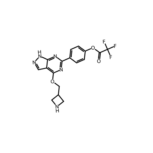 O=C(Oc1ccc(-c2nc(OCC3CNC3)c3cn[nH]c3n2)cc1)C(F)(F)F